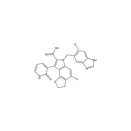 O=C(O)c1c(-c2ccc[nH]c2=O)c2c3c(c(F)cc2n1Cc1cc2nc[nH]c2cc1Cl)CCO3